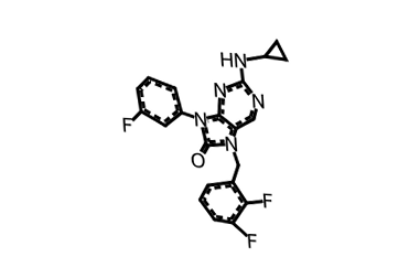 O=c1n(Cc2cccc(F)c2F)c2cnc(NC3CC3)nc2n1-c1cccc(F)c1